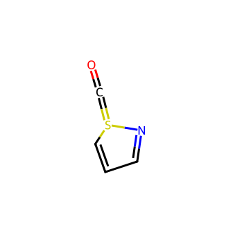 O=C=S1C=CC=N1